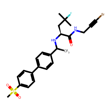 CC(C)(F)C[C@H](NC(c1ccc(-c2ccc(S(C)(=O)=O)cc2)cc1)C(F)(F)F)C(=O)NCC#CBr